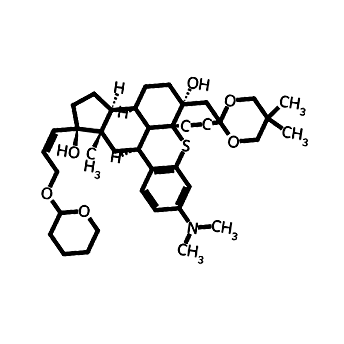 CN(C)c1ccc2c(c1)S[C@]13CCC4(C[C@]1(O)CC[C@@H]1C3[C@@H]2C[C@@]2(C)[C@H]1CC[C@@]2(O)/C=C\COC1CCCCO1)OCC(C)(C)CO4